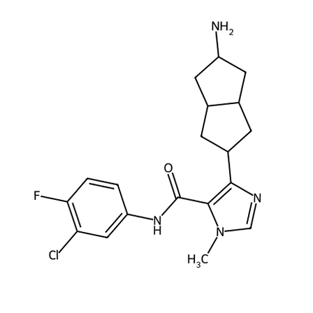 Cn1cnc(C2CC3CC(N)CC3C2)c1C(=O)Nc1ccc(F)c(Cl)c1